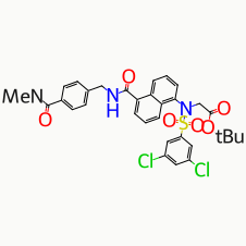 CNC(=O)c1ccc(CNC(=O)c2cccc3c(N(CC(=O)OC(C)(C)C)S(=O)(=O)c4cc(Cl)cc(Cl)c4)cccc23)cc1